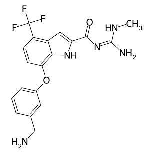 CNC(N)=NC(=O)c1cc2c(C(F)(F)F)ccc(Oc3cccc(CN)c3)c2[nH]1